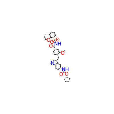 C/C=C\Oc1ccccc1S(=O)(=O)NC(=O)c1ccc(Cc2cn(C)c3ccc(NC(=O)OC4CCCC4)cc23)c(OC)c1